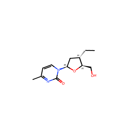 CC[C@H]1C[C@H](n2ccc(C)nc2=O)O[C@@H]1CO